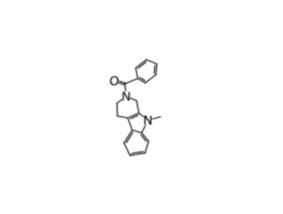 Cn1c2c(c3ccccc31)CCN(C(=O)c1ccccc1)C2